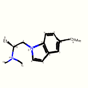 CC[C@@H](Cn1ccc2cc(OC)ccc21)N(C)C